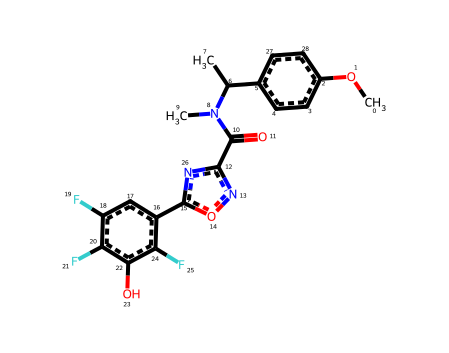 COc1ccc(C(C)N(C)C(=O)c2noc(-c3cc(F)c(F)c(O)c3F)n2)cc1